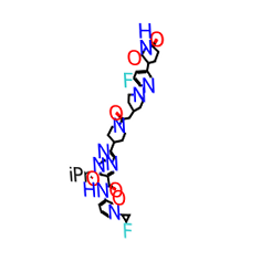 CC(C)Oc1nc2nc(C3CCN(C(=O)CC4CCN(c5ncc(C6CCC(=O)NC6=O)cc5F)CC4)CC3)cn2cc1C(=O)Nc1cccn([C@H]2C[C@H]2F)c1=O